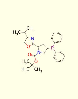 CC(C)C1COC(C2CC(P(c3ccccc3)c3ccccc3)CN2C(=O)OC(C)(C)C)=N1